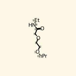 CCCOCCOCC(=O)NCC